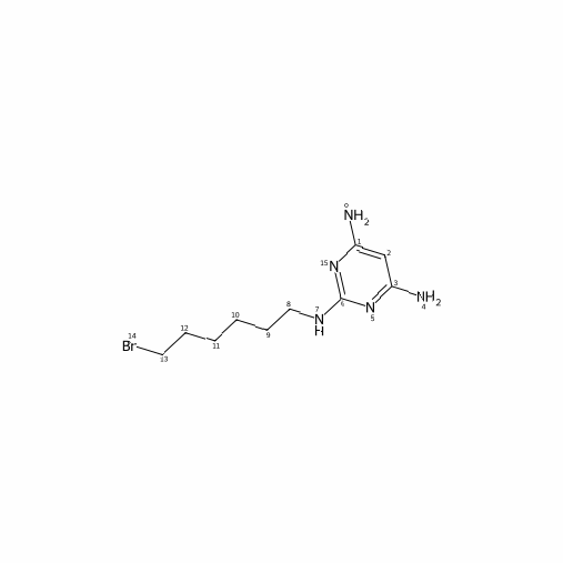 Nc1cc(N)nc(NCCCCCCBr)n1